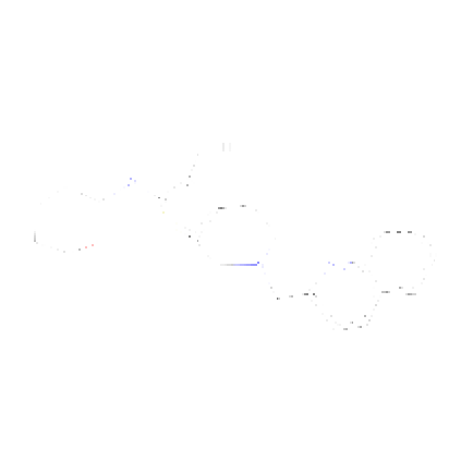 O=C(O)c1c(NC2CCCCO2)sc2c1CCN(Cc1ccc3ccccc3n1)C2